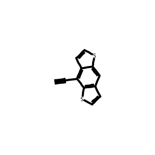 C#Cc1c2ccsc2cc2ccsc12